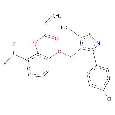 C=CC(=O)Oc1c(OCc2c(-c3ccc(Cl)cc3)nsc2C(F)(F)F)cccc1C(F)F